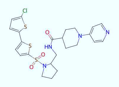 O=C(NCC1CCCN1S(=O)(=O)c1ccc(-c2ccc(Cl)s2)s1)C1CCN(c2ccncc2)CC1